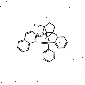 CC1(C)[C@@H]2CC[C@@]1(C)[C@@H](c1ccc3ccccc3n1)[C@H]2P(=O)(c1ccccc1)c1ccccc1